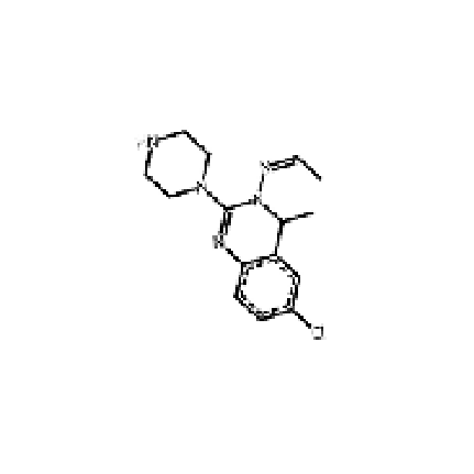 C/C=N\N1C(N2CCNCC2)=Nc2ccc(Cl)cc2C1C